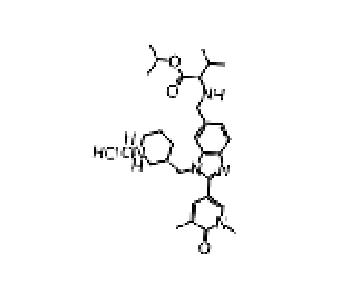 Cc1cc(-c2nc3ccc(CNC(C(=O)OC(C)C)C(C)C)cc3n2C[C@@H]2CCCNC2)cn(C)c1=O.Cl.Cl